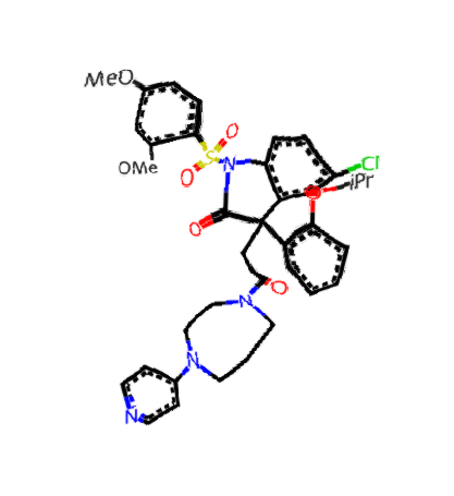 COc1ccc(S(=O)(=O)N2C(=O)C(CC(=O)N3CCCN(c4ccncc4)CC3)(c3ccccc3OC(C)C)c3cc(Cl)ccc32)c(OC)c1